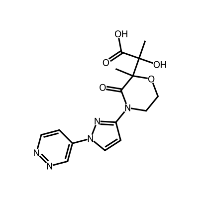 CC(O)(C(=O)O)C1(C)OCCN(c2ccn(-c3ccnnc3)n2)C1=O